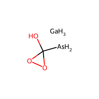 OC1([AsH2])OO1.[GaH3]